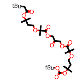 CC(C)(C)CC(=O)OC(C)(C)CCOC(C)(C)C(=O)OCC(=O)COC(=O)C(C)(C)OCCC(C)(C)OC(=O)OC(C)(C)C